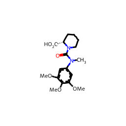 COc1cc(N(C)C(=O)N2CCCC[C@H]2C(=O)O)cc(OC)c1OC